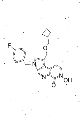 O=c1c2ncc3c(c(COCC4CCC4)cn3Cc3ccc(F)cc3)c2ccn1O